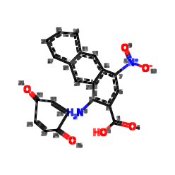 Nc1c(C(=O)O)cc([N+](=O)[O-])c2cc3ccccc3cc12.O=C1C=CC(=O)C=C1